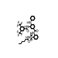 CCCCCC(=O)NS(=O)(=O)c1ccccc1NC(=O)c1ccc(Nc2ccccc2)c(NC(=O)c2cc(C(F)(F)F)cc(C(F)(F)F)c2)c1